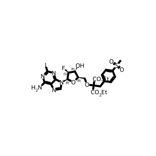 CCOC(=O)C(Cc1ccc(S(C)(=O)=O)cc1)(OC[C@H]1O[C@@H](n2cnc3c(N)nc(I)nc32)[C@@H](F)[C@@H]1O)C(=O)OCC